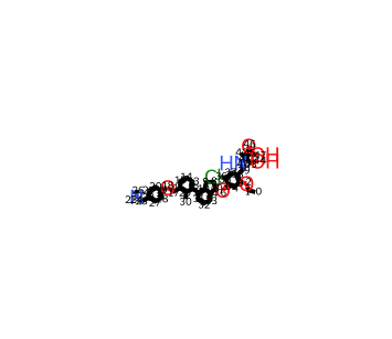 CCOc1cc(O[C@H]2CCc3c(-c4cccc(COc5ccc(CN(C)C)cc5)c4C)cccc32)c(Cl)cc1CNC(C)(CO)C(=O)O